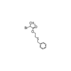 CC(Br)C(=O)OCCSCc1ccccc1